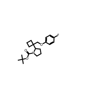 CC(C)(C)OC(=O)N1CCCC1C1(COc2ccc(F)cc2)CCC1